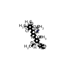 C=CC(=O)Nc1cc(-c2cc3c(cn2)C=C(c2c(Cl)c(OC)cc(OC)c2Cl)CN3/C=C\N=C)c(OC)cc1N1CCC2(CCOC2)C1